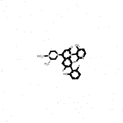 Cc1ccnc(C(C)C)c1-n1c(=O)cc(N2CCN(C(=O)O)[C@@H](C)C2)c2cc(F)c(-c3c(O)cccc3F)cc21